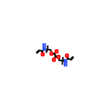 C=CC(=O)NC(C)(C)COC(=O)C(=O)OCC(C)(C)NC(=O)C=C